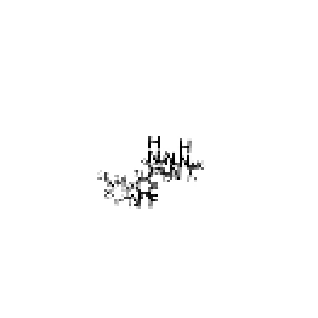 CC1=Nc2c(F)cc(-c3c[nH]c4nc(NC(C)C)ncc34)cc2C1CC(C)C